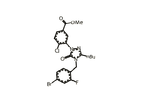 CCCCc1nn(-c2cc(C(=O)OC)ccc2Cl)c(=O)n1Cc1ccc(Br)cc1F